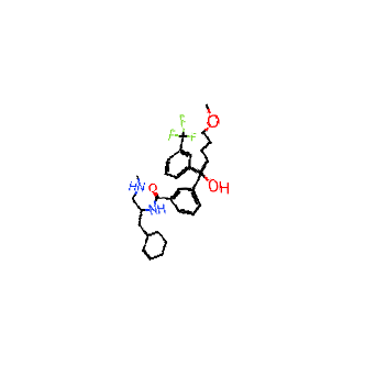 CNCC(CC1CCCCC1)NC(=O)c1cccc(C(O)(CCCCOC)c2cccc(C(F)(F)F)c2)c1